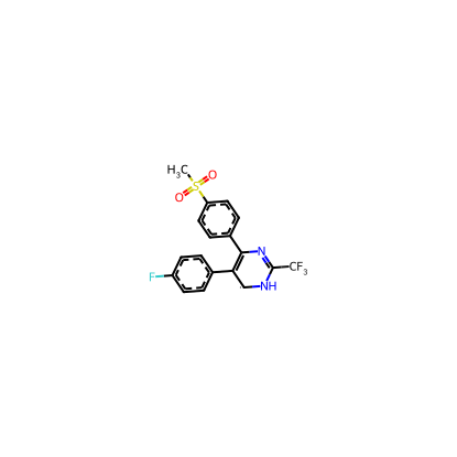 CS(=O)(=O)c1ccc(C2=C(c3ccc(F)cc3)[CH]NC(C(F)(F)F)=N2)cc1